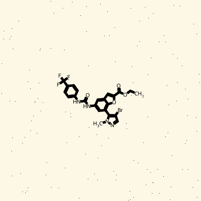 CCOC(=O)c1cc2cc(NC(=O)Nc3ccc(C(F)(F)F)cc3)cc(-c3c(Br)cnn3C)c2o1